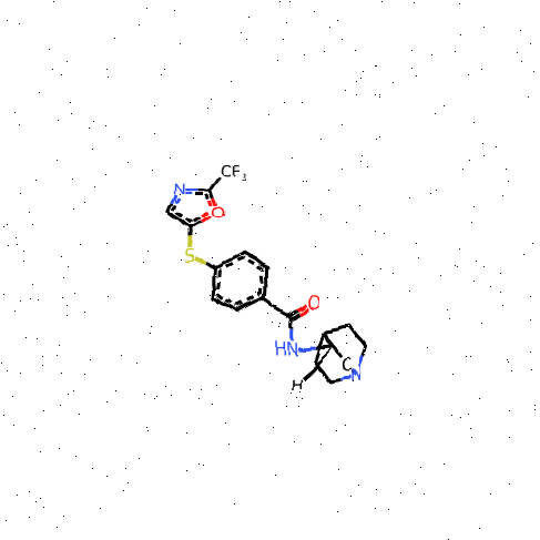 O=C(N[C@H]1CN2CCC1CC2)c1ccc(Sc2cnc(C(F)(F)F)o2)cc1